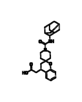 O=C(O)CC1CC2(CCN(C(=O)NC3C4CC5CC(C4)CC3C5)CC2)Oc2ccccc21